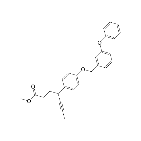 CC#CC(CCC(=O)OC)c1ccc(OCc2cccc(Oc3ccccc3)c2)cc1